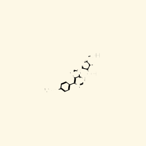 CSc1ccc(-c2ncnc3c2ncn3[C@@H]2O[C@H](CO)[C@@H](O)[C@H]2O)cc1